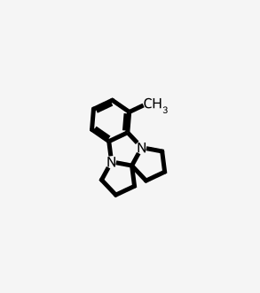 Cc1cccc2c1N1CCCC13CCCN23